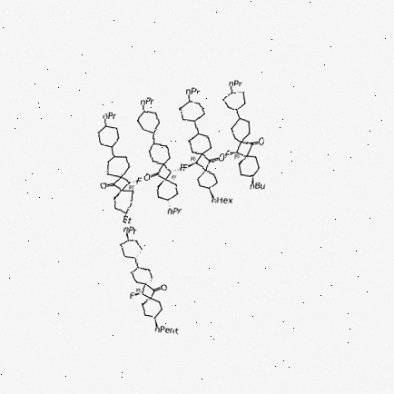 CCCC1CCC(C2CCC3(CC2)C(=O)[C@]2(CC[C@@H](CC)CC2)[C@H]3F)CC1.CCCC1CCC(C2CCC3(CC2)C(=O)[C@]2(CC[C@@H](CCC)CC2)[C@H]3F)CC1.CCCCCC[C@H]1CC[C@]2(CC1)C(=O)C1(CCC(C3CCC(CCC)CC3)CC1)[C@@H]2F.CCCCC[C@H]1CC[C@]2(CC1)C(=O)[C@@]1(CC[C@H]([C@H]3CC[C@H](CCC)CC3)CC1)[C@@H]2F.CCCC[C@H]1CC[C@]2(CC1)C(=O)C1(CCC(C3CCC(CCC)CC3)CC1)[C@@H]2F